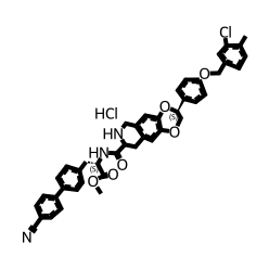 COC(=O)[C@H](Cc1ccc(-c2ccc(C#N)cc2)cc1)NC(=O)C1Cc2cc3c(cc2CN1)O[C@@H](c1ccc(OCc2ccc(C)c(Cl)c2)cc1)CO3.Cl